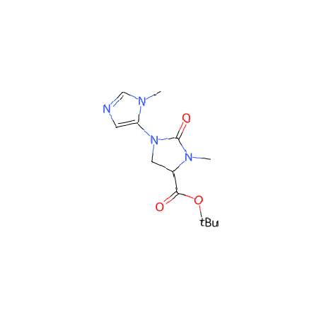 CN1C(=O)N(c2cncn2C)CC1C(=O)OC(C)(C)C